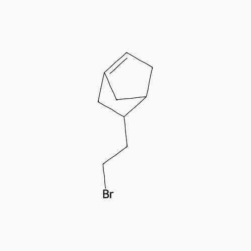 BrCCC1CC2=CCC1C2